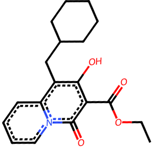 CCOC(=O)c1c(O)c(CC2CCCCC2)c2ccccn2c1=O